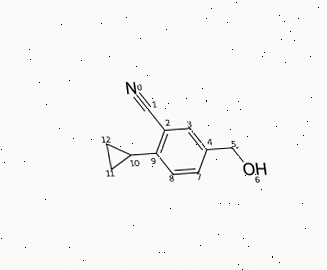 N#Cc1cc([CH]O)ccc1C1CC1